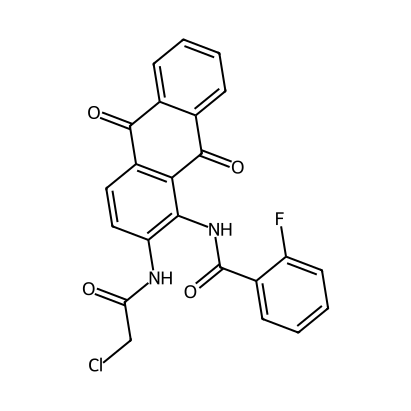 O=C(CCl)Nc1ccc2c(c1NC(=O)c1ccccc1F)C(=O)c1ccccc1C2=O